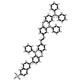 C[Si](C)(C)c1ccc2cc(-c3ccc4c(c3)N(c3ccccc3)c3cc(/C=C/c5ccc6c(c5)N(c5ccccc5)c5cc(N(c7ccccc7)c7ccccc7)ccc5S6)ccc3S4)ccc2c1